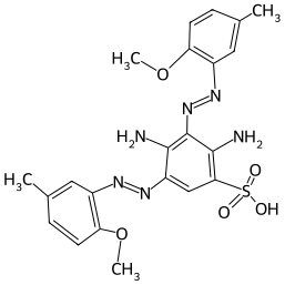 COc1ccc(C)cc1/N=N/c1cc(S(=O)(=O)O)c(N)c(/N=N/c2cc(C)ccc2OC)c1N